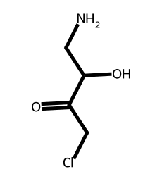 NCC(O)C(=O)CCl